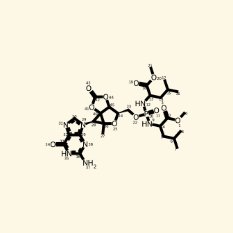 COC(=O)C(CC(C)C)NP(=O)(NC(CC(C)C)C(=O)OC)OC[C@H]1OC2(C)[C@@H](n3cnc4c(=O)[nH]c(N)nc43)C23OC(=O)OC13